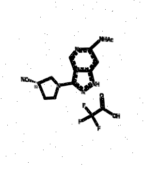 CC(=O)Nc1cc2[nH]nc(N3CC[C@H](C#N)C3)c2cn1.O=C(O)C(F)(F)F